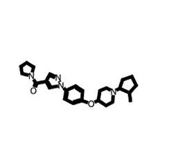 CC1CCCC1N1CCC(Oc2ccc(-n3cc(C(=O)N4CCCC4)cn3)cc2)CC1